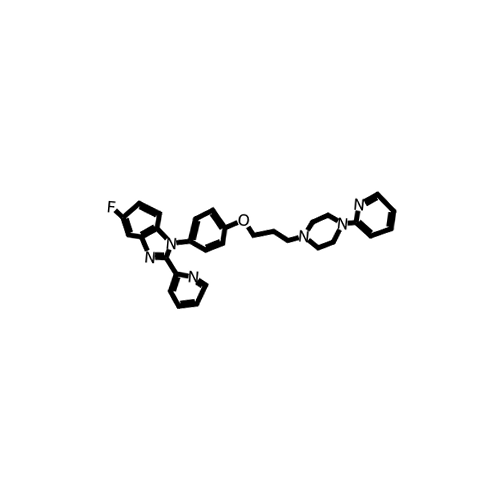 Fc1ccc2c(c1)nc(-c1ccccn1)n2-c1ccc(OCCCN2CCN(c3ccccn3)CC2)cc1